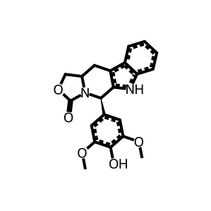 COc1cc([C@@H]2c3[nH]c4ccccc4c3CC3COC(=O)N32)cc(OC)c1O